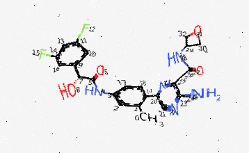 Cc1cc(NC(=O)[C@H](O)c2cc(F)cc(F)c2)ccc1-c1cnc(N)c(C(=O)NC2COC2)n1